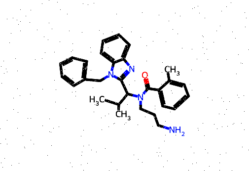 Cc1ccccc1C(=O)N(CCCN)C(c1nc2ccccc2n1Cc1ccccc1)C(C)C